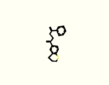 C=C(CCC(=C)c1ccc2c(c1)CCCS2)c1ccccc1